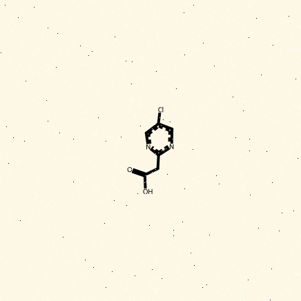 O=C(O)Cc1ncc(Cl)cn1